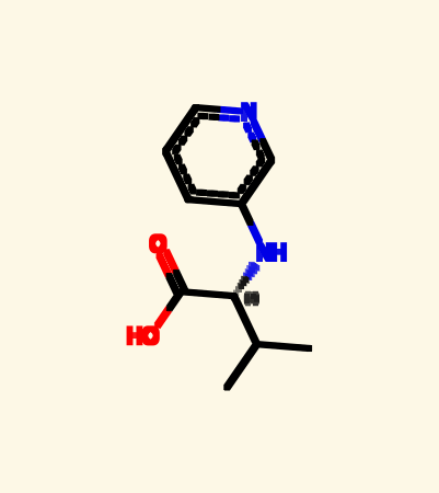 CC(C)[C@@H](Nc1cccnc1)C(=O)O